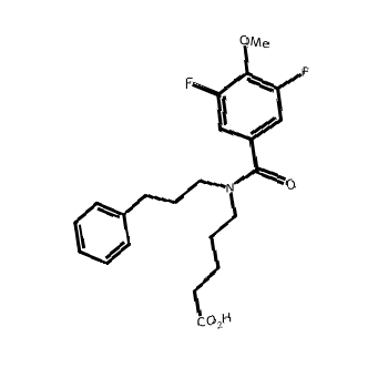 COc1c(F)cc(C(=O)N(CCCCC(=O)O)CCCc2ccccc2)cc1F